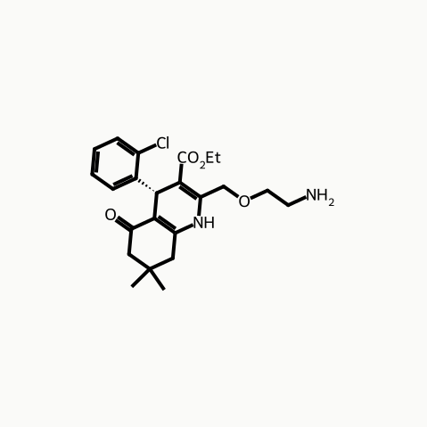 CCOC(=O)C1=C(COCCN)NC2=C(C(=O)CC(C)(C)C2)[C@@H]1c1ccccc1Cl